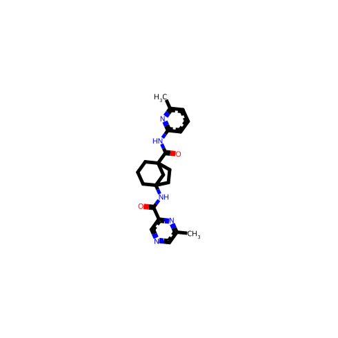 Cc1cccc(NC(=O)C23CCCC(NC(=O)c4cncc(C)n4)(CC2)C3)n1